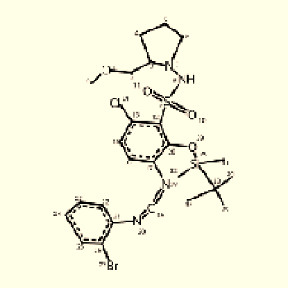 COCC1CCCN1NS(=O)(=O)c1c(Cl)ccc(N=C=Nc2ccccc2Br)c1O[Si](C)(C)C(C)(C)C